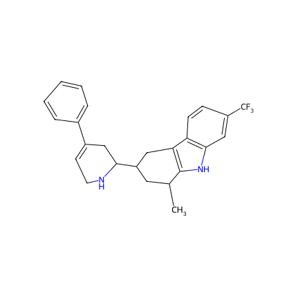 CC1CC(C2CC(c3ccccc3)=CCN2)Cc2c1[nH]c1cc(C(F)(F)F)ccc21